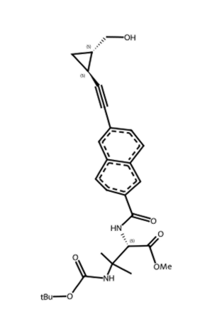 COC(=O)[C@@H](NC(=O)c1ccc2cc(C#C[C@H]3C[C@@H]3CO)ccc2c1)C(C)(C)NC(=O)OC(C)(C)C